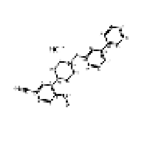 COc1ccc(C#N)cc1N1CCN(Cc2cccc(-c3ccccc3)c2)CC1.Cl